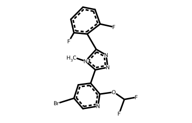 Cn1c(-c2cc(Br)cnc2OC(F)F)nnc1-c1c(F)cccc1F